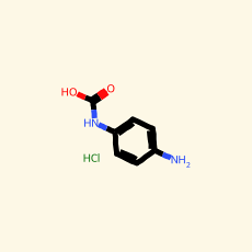 Cl.Nc1ccc(NC(=O)O)cc1